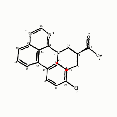 O=C(O)[C@H]1CCCN(c2ncnc3cccc(-c4ccc(Cl)cc4)c23)C1